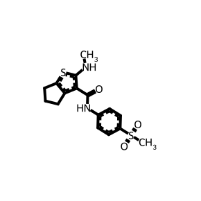 CNc1sc2c(c1C(=O)Nc1ccc(S(C)(=O)=O)cc1)CCC2